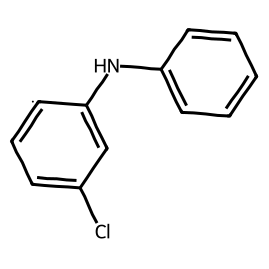 Clc1cc[c]c(Nc2ccccc2)c1